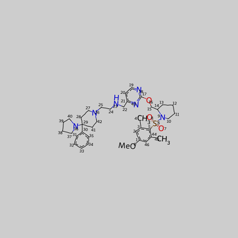 COc1cc(C)c(S(=O)(=O)N2CCCCC2COc2nccc(CNCCN3CCC(c4ccccc4)(N4CCCC4)CC3)n2)c(C)c1